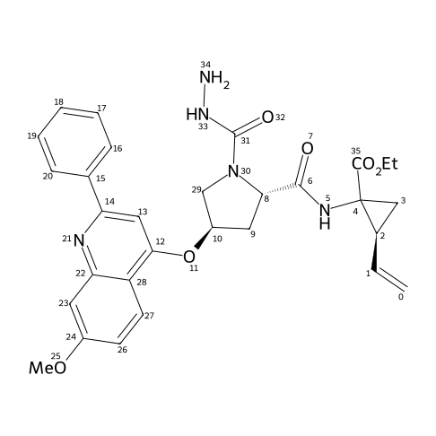 C=C[C@@H]1CC1(NC(=O)[C@@H]1C[C@@H](Oc2cc(-c3ccccc3)nc3cc(OC)ccc23)CN1C(=O)NN)C(=O)OCC